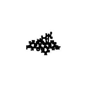 CN(C)CCCn1cc(-c2ccc(F)cc2)c(C(=O)N2CCCCC2CNc2ncc(Br)cn2)n1